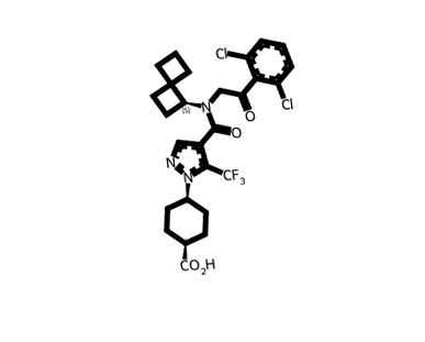 O=C(CN(C(=O)c1cnn([C@H]2CC[C@@H](C(=O)O)CC2)c1C(F)(F)F)[C@H]1CCC12CCC2)c1c(Cl)cccc1Cl